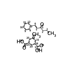 CCCC(=O)C=Cc1ccccc1.Cc1cc(C(=O)O)cc(C(=O)O)c1